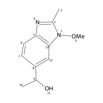 COn1c(C)nc2ccc(C(C)O)cc21